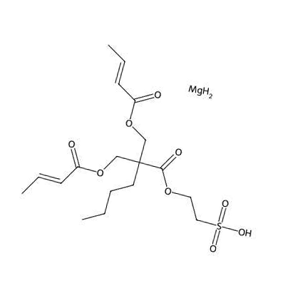 CC=CC(=O)OCC(CCCC)(COC(=O)C=CC)C(=O)OCCS(=O)(=O)O.[MgH2]